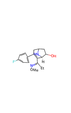 CCC(=NOC)C1=C(c2ccc(F)cc2)CC2CC(O)[C@@H]1N2